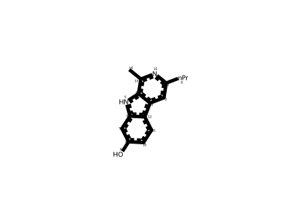 CCCc1cc2c([nH]c3cc(O)ccc32)c(C)n1